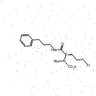 CCSCC[C@H](C(=O)NCCCc1ccccc1)N(C(=O)O)C(C)(C)C